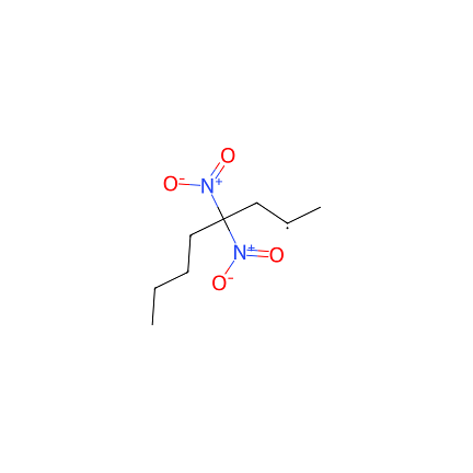 C[CH]CC(CCCC)([N+](=O)[O-])[N+](=O)[O-]